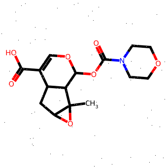 CC12OC1CC1C(C(=O)O)=COC(OC(=O)N3CCOCC3)C12